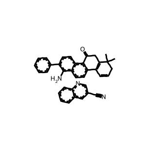 CC1(C)CC=CC2=C1CC(=O)c1c2ccc2c(N)c(-c3ccccc3)ccc12.N#Cc1cnc2ccccc2c1